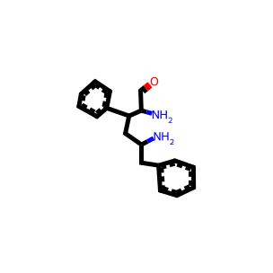 NC(Cc1ccccc1)CC(c1ccccc1)C(N)C=O